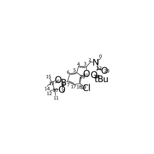 CN(Cc1cc2cc(B3OC(C)(C)C(C)(C)O3)cc(Cl)c2o1)C(=O)OC(C)(C)C